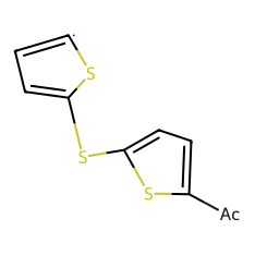 CC(=O)c1ccc(Sc2cc[c]s2)s1